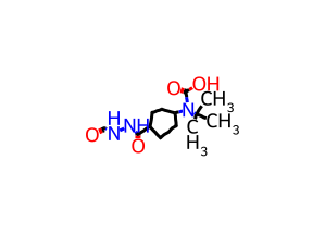 CC(C)(C)N(C(=O)O)C1CCC(C(=O)NNC=O)CC1